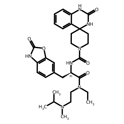 CCN(CCN(C)C(C)C)C(=O)[C@@H](Cc1ccc2[nH]c(=O)oc2c1)NC(=O)N1CCC2(CC1)NC(=O)Nc1ccccc12